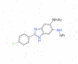 CCCNc1cc2[nH]c(-c3ccc(F)cc3)nc2cc1NC(C)=O